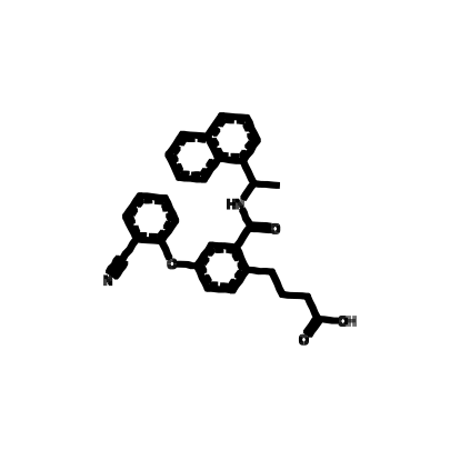 CC(NC(=O)c1cc(Oc2ccccc2C#N)ccc1CCCC(=O)O)c1cccc2ccccc12